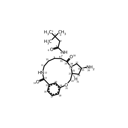 CC(C)(C)CC(=O)N[C@H]1CCCNC(=O)c2cccc(c2)OC[C@@H]2C[C@H](N)CN2C1=O